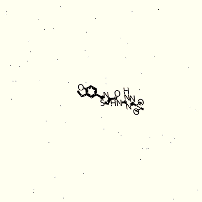 CS(=O)(=O)c1n[nH]c(NC(=O)c2csc(-c3ccc4c(c3)CCO4)n2)n1